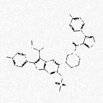 CNC(O)c1c(-c2ccc(F)cc2)oc2cc(NS(C)(=O)=O)c([C@@H]3CCCN(C(=O)c4c[nH]cc4-c4ccc(F)cc4)C3)cc12